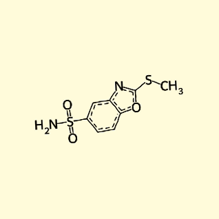 CSc1nc2cc(S(N)(=O)=O)ccc2o1